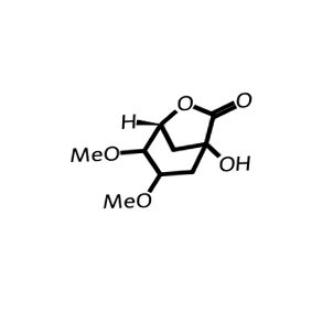 COC1CC2(O)C[C@@H](OC2=O)C1OC